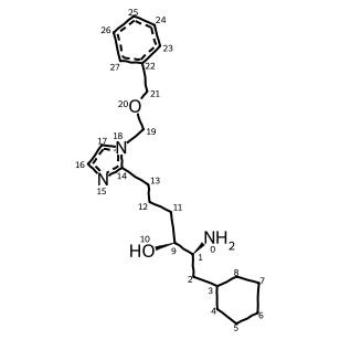 N[C@@H](CC1CCCCC1)[C@@H](O)CCCc1nccn1COCc1ccccc1